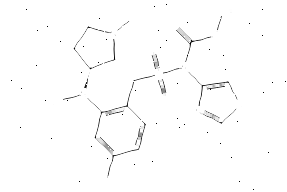 CN(c1cc(F)ccc1CS(=O)(=O)N(C(=O)OC(C)(C)C)c1cscn1)[C@H]1CCN(C(=O)O)C1